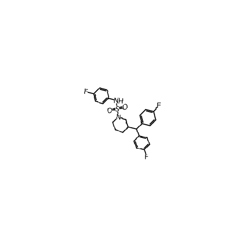 O=S(=O)(Nc1ccc(F)cc1)N1CCCC(C(c2ccc(F)cc2)c2ccc(F)cc2)C1